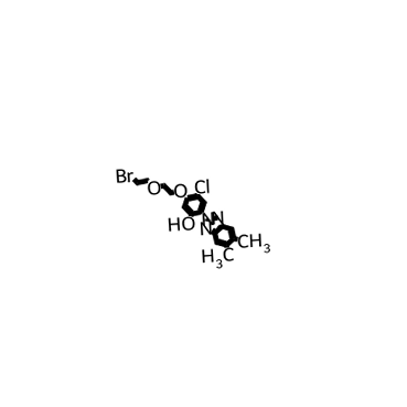 Cc1cc2nn(-c3cc(Cl)c(OCCOCCBr)cc3O)nc2cc1C